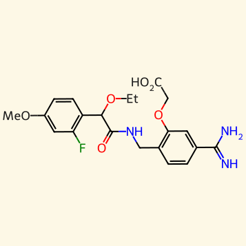 CCOC(C(=O)NCc1ccc(C(=N)N)cc1OCC(=O)O)c1ccc(OC)cc1F